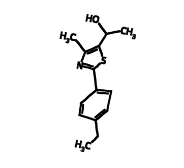 CCc1ccc(-c2nc(C)c(C(C)O)s2)cc1